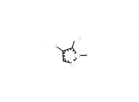 [CH2]c1c(N)cnn1CC